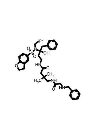 CC(C)CN(C(O)(CCNC(=O)CC(C)(C)CNC(=O)CNCc1ccccc1)Cc1ccccc1)S(=O)(=O)c1ccc2c(c1)CCO2